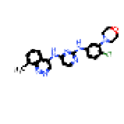 Cc1cccc2c(Nc3ccnc(Nc4ccc(Cl)c(N5CCOCC5)c4)n3)cnnc12